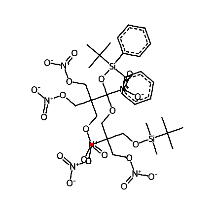 CC(C)(C)[Si](C)(C)OCC(CO[N+](=O)[O-])(CO[N+](=O)[O-])COC(O[Si](c1ccccc1)(c1ccccc1)C(C)(C)C)([N+](=O)[O-])C(CO[N+](=O)[O-])(CO[N+](=O)[O-])CO[N+](=O)[O-]